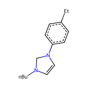 CCCCN1C=CN(c2ccc(CC)cc2)C1